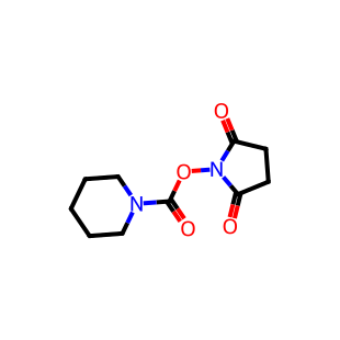 O=C(ON1C(=O)CCC1=O)N1CCCCC1